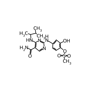 CC(C)C(C)Nc1nc(Nc2ccc(OS(C)(=O)=O)c(O)c2)ncc1C(N)=O